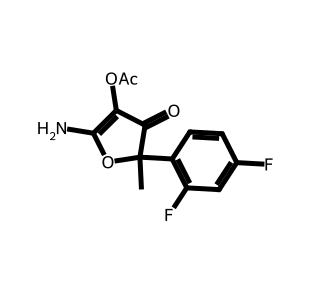 CC(=O)OC1=C(N)OC(C)(c2ccc(F)cc2F)C1=O